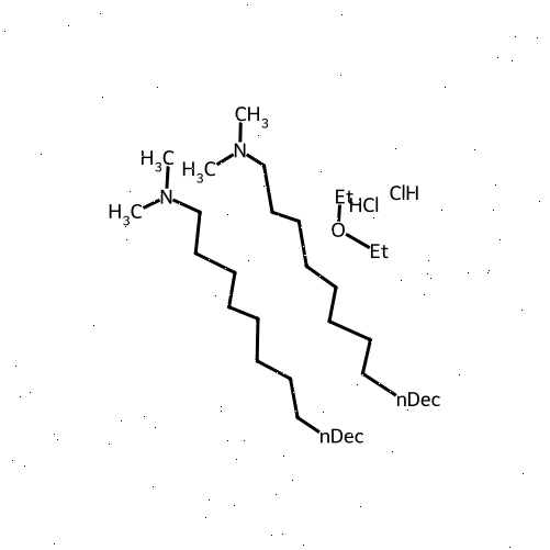 CCCCCCCCCCCCCCCCCCN(C)C.CCCCCCCCCCCCCCCCCCN(C)C.CCOCC.Cl.Cl